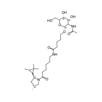 CC(=O)NC1[C@H](OCCCCC(=O)NCCCCCC(=O)N2C[C@H](C)C[C@H]2C2C(C)C2(C)C)OC(CO)[C@H](O)[C@@H]1O